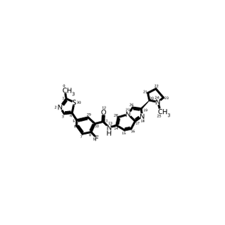 Cc1ncc(-c2ccc(F)c(C(=O)Nc3ccc4nc([C@H]5CCCN5C)cn4c3)c2)s1